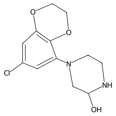 OC1CN(c2cc(Cl)cc3c2OCCO3)CCN1